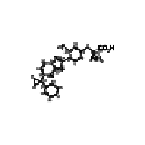 N[C@H](Cc1ccc(-c2nc3ccc(C4(c5ccccc5)CC4)nc3s2)c(F)c1)C(=O)O